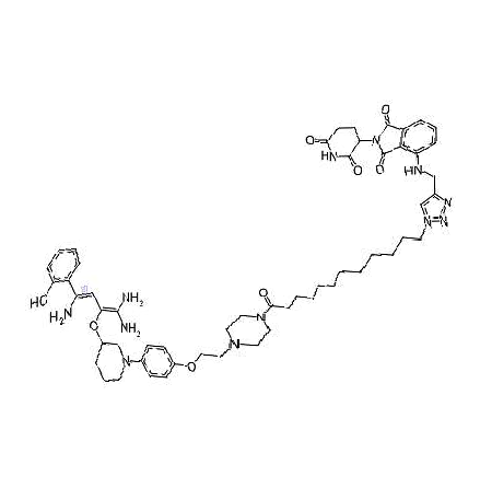 NC(N)=C(/C=C(\N)c1ccccc1O)OC1CCCN(c2ccc(OCCN3CCN(C(=O)CCCCCCCCCCCn4cc(CNc5cccc6c5C(=O)N(C5CCC(=O)NC5=O)C6=O)nn4)CC3)cc2)C1